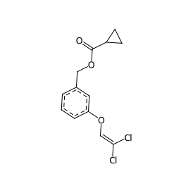 O=C(OCc1cccc(OC=C(Cl)Cl)c1)C1CC1